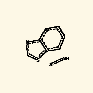 N=S.c1ccc2scnc2c1